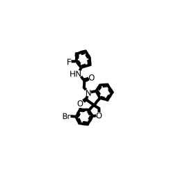 O=C(CN1C(=O)C2(COc3ccc(Br)cc32)c2ccccc21)Nc1ccccc1F